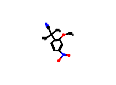 COc1cc([N+](=O)[O-])ccc1C(C)(C)C#N